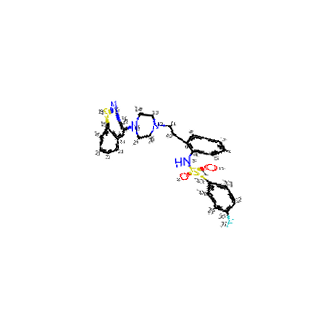 O=S(=O)(Nc1ccccc1CCN1CCN(c2nsc3ccccc23)CC1)c1ccc(F)cc1